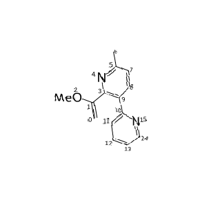 C=C(OC)c1nc(C)ccc1-c1ccccn1